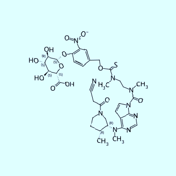 C[C@@H]1CCN(C(=O)CC#N)C[C@@H]1N(C)c1ncnc2c1ccn2C(=O)N(C)CCN(C)C(=S)OCc1ccc(O[C@@H]2O[C@H](C(=O)O)[C@@H](O)[C@H](O)[C@H]2O)c([N+](=O)[O-])c1